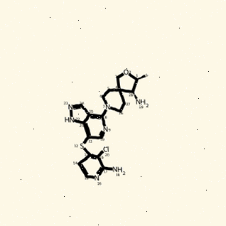 C[C@@H]1OCC2(CCN(c3ncc(Sc4ccnc(N)c4Cl)c4[nH]ncc34)CC2)[C@@H]1N